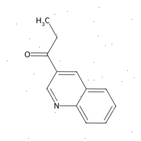 CCC(=O)c1cnc2ccccc2c1